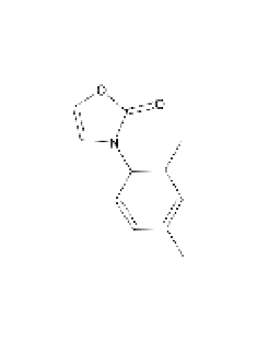 Cc1ccc(-n2ccoc2=O)c(C)c1